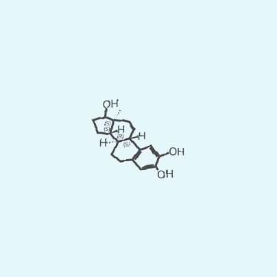 C[C@]12CC[C@@H]3c4cc(O)c(O)cc4CC[C@H]3[C@@H]1CCC2O